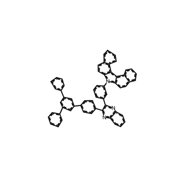 c1ccc(-c2cc(-c3ccccc3)cc(-c3ccc(-c4nc5ccccc5nc4-c4cccc(-n5c6ccc7ccccc7c6c6c7ccccc7ccc65)c4)cc3)c2)cc1